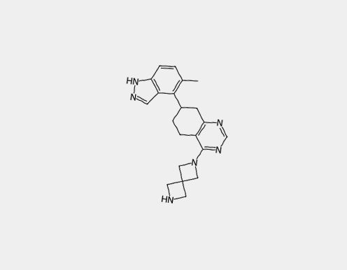 Cc1ccc2[nH]ncc2c1C1CCc2c(ncnc2N2CC3(CNC3)C2)C1